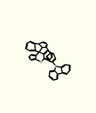 C1=CC2c3ccccc3C3(c4ccccc4Oc4ccccc43)C2C(c2ccc(-n3c4ccccc4c4ccccc43)cc2)=C1